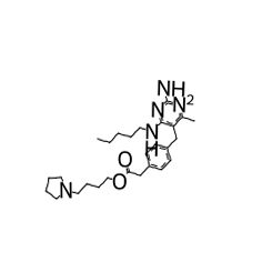 CCCCCNc1nc(N)nc(C)c1Cc1ccc(CC(=O)OCCCCN2CCCC2)cc1